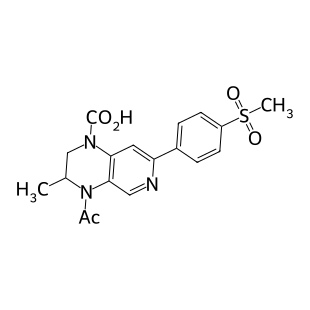 CC(=O)N1c2cnc(-c3ccc(S(C)(=O)=O)cc3)cc2N(C(=O)O)CC1C